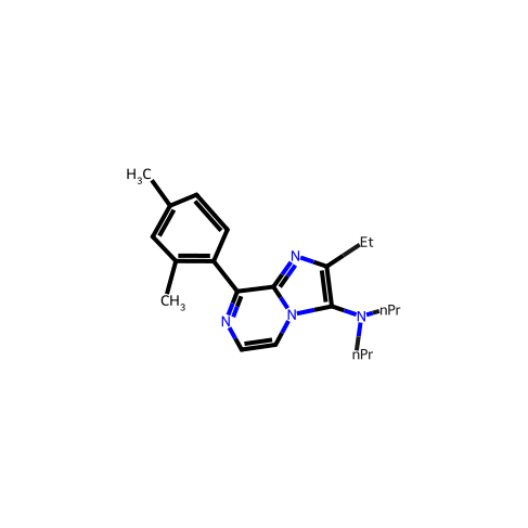 CCCN(CCC)c1c(CC)nc2c(-c3ccc(C)cc3C)nccn12